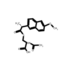 COc1ccc2cc([C@@H](C)C(=O)SCC(NC(C)=O)C(=O)O)ccc2c1